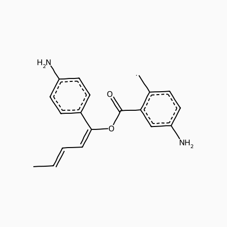 [CH2]c1ccc(N)cc1C(=O)O/C(=C/C=C/C)c1ccc(N)cc1